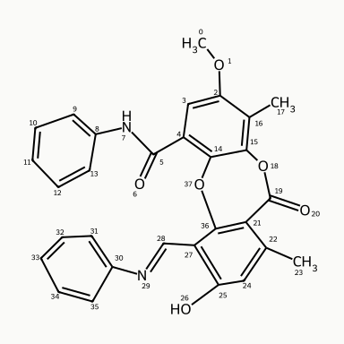 COc1cc(C(=O)Nc2ccccc2)c2c(c1C)OC(=O)c1c(C)cc(O)c(C=Nc3ccccc3)c1O2